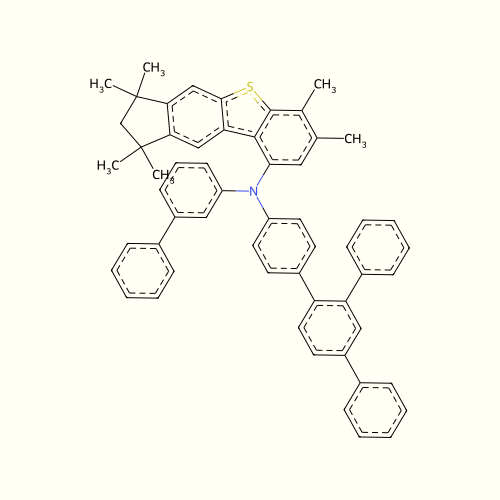 Cc1cc(N(c2ccc(-c3ccc(-c4ccccc4)cc3-c3ccccc3)cc2)c2cccc(-c3ccccc3)c2)c2c(sc3cc4c(cc32)C(C)(C)CC4(C)C)c1C